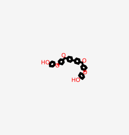 O=C(c1ccc(Oc2ccc(O)cc2)cc1)c1ccc(-c2ccc(C(=O)c3ccc(Oc4ccc(O)cc4)cc3)cc2)cc1